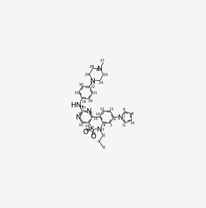 CCCN1c2cc(-n3cccc3)ccc2-c2nc(Nc3ccc(N4CCN(C)CC4)cc3)ncc2S1(=O)=O